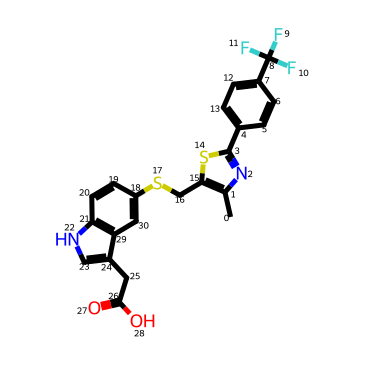 Cc1nc(-c2ccc(C(F)(F)F)cc2)sc1CSc1ccc2[nH]cc(CC(=O)O)c2c1